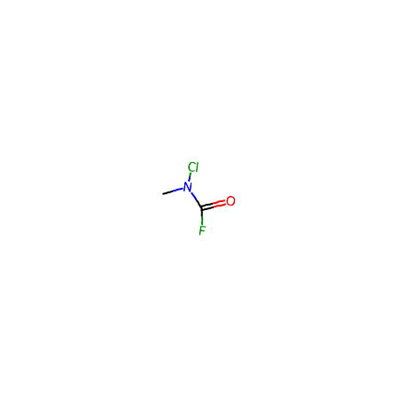 CN(Cl)C(=O)F